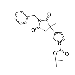 CC(C)(C)OC(=O)n1ccc(C2(C)CC(=O)N(Cc3ccccc3)C2=O)c1